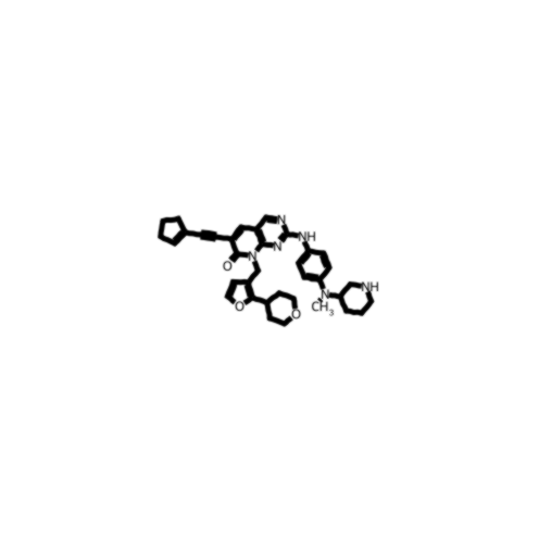 CN(c1ccc(Nc2ncc3cc(C#CC4=CCCC4)c(=O)n(Cc4ccoc4C4CCOCC4)c3n2)cc1)C1CCCNC1